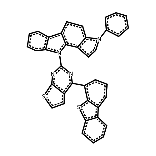 c1ccc(-n2ccc3c2ccc2c4ccccc4n(-c4nc(-c5cccc6c5sc5ccccc56)c5ccsc5n4)c23)cc1